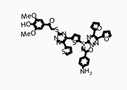 COc1cc(C(=O)CSc2nnc(-c3cccs3)c(-c3ccc([SH](CC(=O)c4ccc(N)cc4)c4nnc(-c5ccco5)c(-c5ccco5)n4)s3)n2)cc(OC)c1O